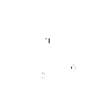 Cc1coc(=O)n1C(C)C